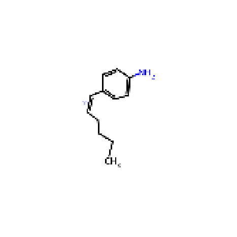 CCCC/C=C\c1ccc(N)cc1